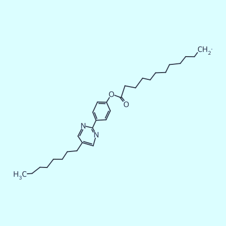 [CH2]CCCCCCCCCCC(=O)Oc1ccc(-c2ncc(CCCCCCCC)cn2)cc1